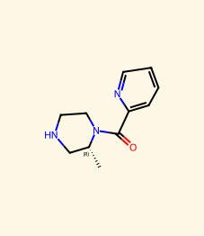 C[C@@H]1CNCCN1C(=O)c1ccccn1